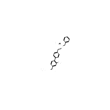 COC(=O)c1ccc(-c2ccc(CCN(Cc3ccccc3)C(=O)OC(C)(C)C)cc2)c([N+](=O)[O-])c1